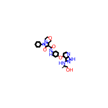 C[C@H](CO)Nc1n[nH]c2nccc(Oc3ccc(NC(=O)c4c5n(n(-c6ccccc6)c4=O)CCOC5)cc3)c12